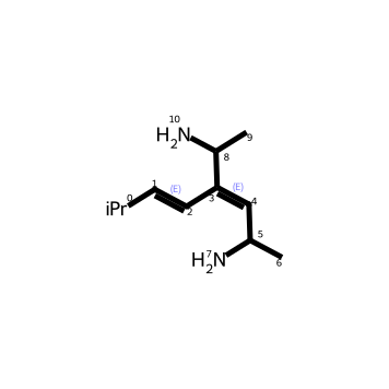 CC(C)/C=C/C(=C\C(C)N)C(C)N